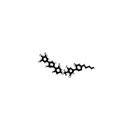 CCCCCc1ccc(-c2cc(F)c(C(F)(F)Oc3cc(F)c(-c4ccc(-c5cc(F)c(F)c(F)c5)c(F)c4)c(F)c3)c(Cl)c2)c(F)c1